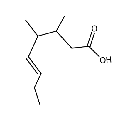 CCC=CC(C)C(C)CC(=O)O